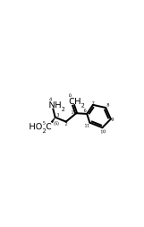 C=C(C[C@H](N)C(=O)O)c1ccccc1